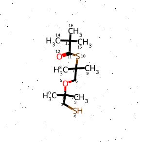 CC(C)(CS)OCC(C)(C)SC(=O)C(C)(C)C